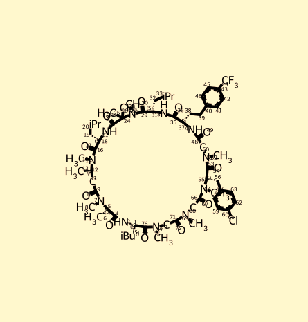 CC[C@H](C)[C@@H]1NC(=O)[C@H](C)N(C)C(=O)C[C@@H](C)N(C)C(=O)[C@H](CC(C)C)NC(=O)C(C)(C)N(C)C(=O)[C@H](CC(C)C)NC(=O)[C@H](CCc2ccc(C(F)(F)F)cc2)NC(=O)CN(C)C(=O)[C@H](Cc2ccc(Cl)cc2)N(C)C(=O)CN(C)C(=O)CN(C)C1=O